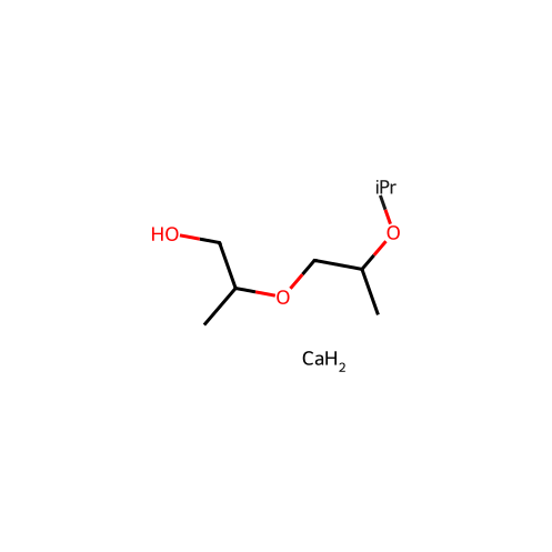 CC(C)OC(C)COC(C)CO.[CaH2]